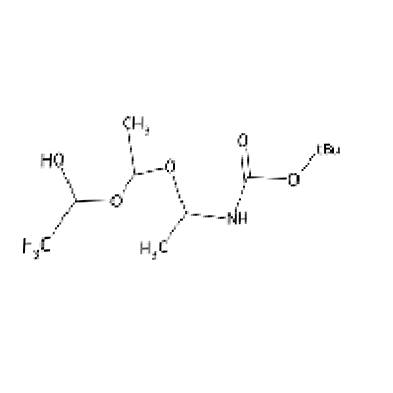 CC(O)OC(C)OC(C)NC(=O)OC(C)(C)C